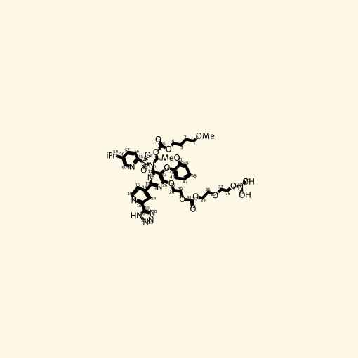 COCCCCOC(=O)OCN(c1nc(-c2ccnc(-c3nnn[nH]3)c2)nc(OCCOC(=O)OCCOCCON(O)O)c1Oc1ccccc1OC)S(=O)(=O)c1ccc(C(C)C)cn1